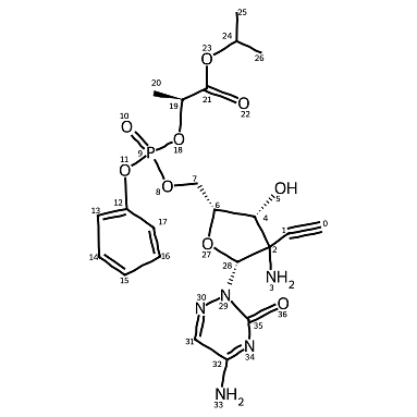 C#CC1(N)[C@@H](O)[C@@H](COP(=O)(Oc2ccccc2)O[C@@H](C)C(=O)OC(C)C)O[C@H]1n1ncc(N)nc1=O